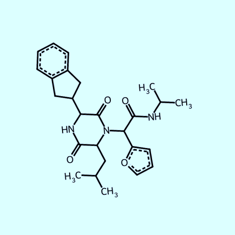 CC(C)CC1C(=O)NC(C2Cc3ccccc3C2)C(=O)N1C(C(=O)NC(C)C)c1ccco1